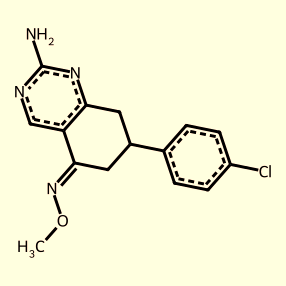 CON=C1CC(c2ccc(Cl)cc2)Cc2nc(N)ncc21